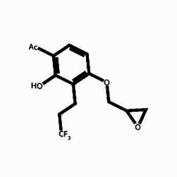 CC(=O)c1ccc(OCC2CO2)c(CCC(F)(F)F)c1O